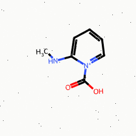 CNc1cccc[n+]1C(=O)O